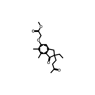 CCC1(CCC(C)=O)Cc2cc(OCC(=O)OC)c(C)c(C)c2C1=O